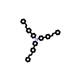 C(=C\c1ccc(-c2ccc(N(c3ccc(-c4ccc(/C=C/c5ccccc5)cc4)cc3)c3ccc(-c4ccc(/C=C/c5ccccc5)cc4)cc3)cc2)cc1)/c1ccccc1